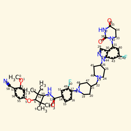 COc1cc(OC2C(C)(C)C(NC(=O)c3ccc(N4CCC(CN5CCC(n6ncc7c(N8CCC(=O)NC8=O)cc(F)cc76)CC5)CC4)c(F)c3)C2(C)C)ccc1C#N